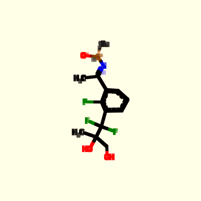 C/C(=N\[S@+]([O-])C(C)(C)C)c1cccc(C(F)(F)C(C)(O)CO)c1F